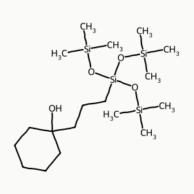 C[Si](C)(C)O[Si](CCCC1(O)CCCCC1)(O[Si](C)(C)C)O[Si](C)(C)C